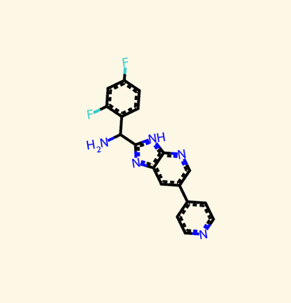 NC(c1nc2cc(-c3ccncc3)cnc2[nH]1)c1ccc(F)cc1F